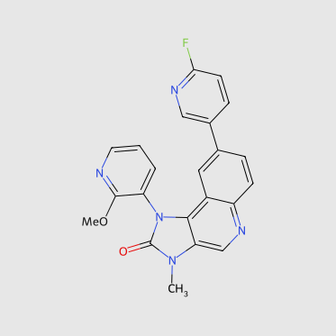 COc1ncccc1-n1c(=O)n(C)c2cnc3ccc(-c4ccc(F)nc4)cc3c21